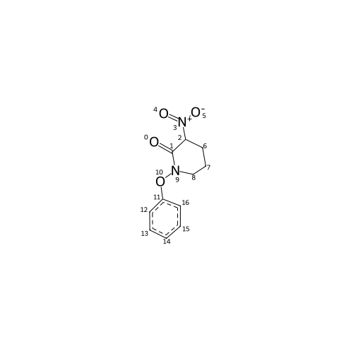 O=C1C([N+](=O)[O-])CCCN1Oc1ccccc1